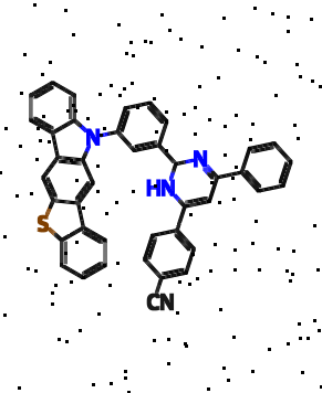 N#Cc1ccc(C2=CC(c3ccccc3)=NC(c3cccc(-n4c5ccccc5c5cc6sc7ccccc7c6cc54)c3)N2)cc1